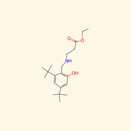 CCOC(=O)CCNCc1c(O)cc(C(C)(C)C)cc1C(C)(C)C